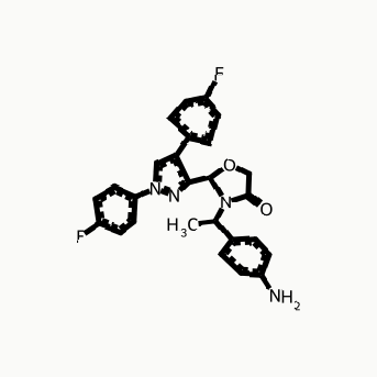 CC(c1ccc(N)cc1)N1C(=O)COC1c1nn(-c2ccc(F)cc2)cc1-c1ccc(F)cc1